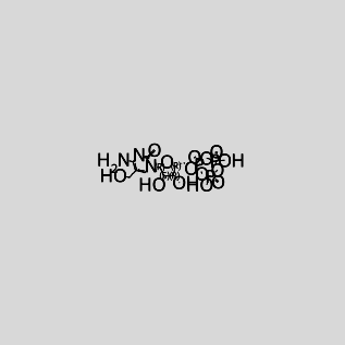 Nc1nc(=O)n([C@@H]2O[C@H](COP3(=O)OP(=O)(O)OP(=O)(O)O3)[C@H](O)[C@@H]2O)cc1CO